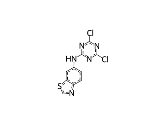 Clc1nc(Cl)nc(Nc2ccc3ncsc3c2)n1